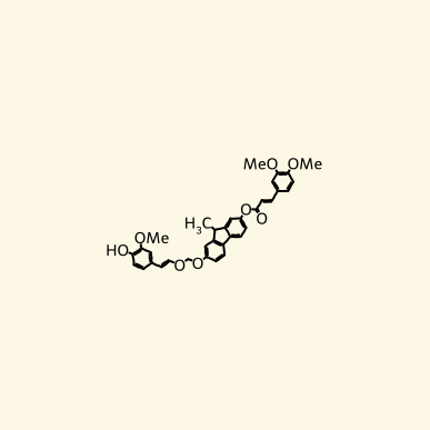 COc1cc(C=COCOc2ccc3c(c2)C(C)c2cc(OC(=O)C=Cc4ccc(OC)c(OC)c4)ccc2-3)ccc1O